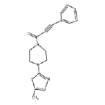 Cc1cnc(N2CCN(C(=O)C#Cc3ccccc3)CC2)s1